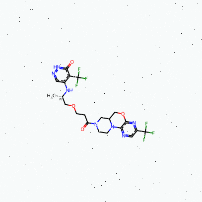 C[C@@H](COCCC(=O)N1CCN2c3ncc(C(F)(F)F)nc3OCC2C1)Nc1cn[nH]c(=O)c1C(F)(F)F